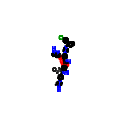 C[C@H]1CN([C@H]2CC[C@H](CNc3ccc(S(=O)(=O)NC(=O)c4ccc(N5CCN(CC6=C(c7ccc(Cl)cc7)CC(C)(C)CC6)CC5)cc4Oc4cnc5[nH]ccc5c4)cc3[N+](=O)[O-])CC2)CCN1